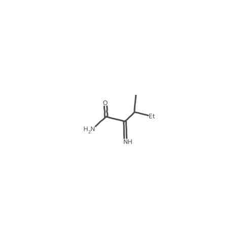 CCC(C)C(=N)C(N)=O